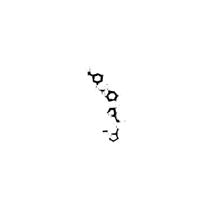 CCN1CCCC1CNC(=O)c1cc(Oc2ccc3c(c2)nc(Nc2cccc(C(F)(F)F)c2)n3C)ccn1